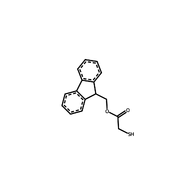 O=C(CS)OCC1c2ccccc2-c2ccccc21